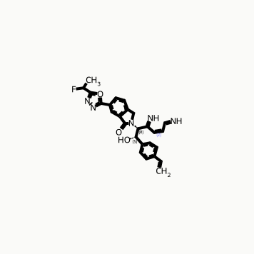 C=Cc1ccc([C@H](O)[C@@H](C(=N)/C=C\C=N)N2Cc3ccc(-c4nnc(C(C)F)o4)cc3C2=O)cc1